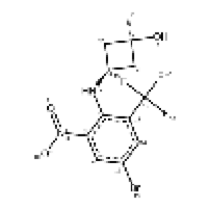 C[C@]1(O)C[C@@H](Nc2c([N+](=O)[O-])cc(Br)cc2C(F)(F)F)C1